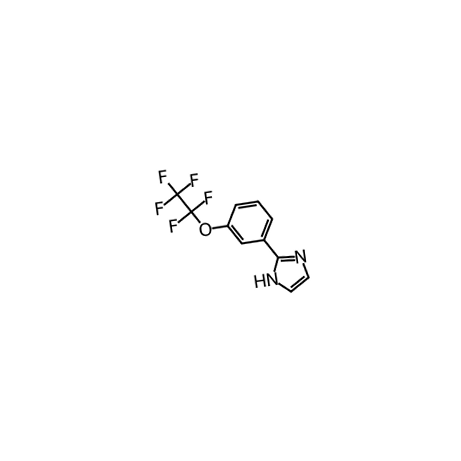 FC(F)(F)C(F)(F)Oc1cccc(-c2ncc[nH]2)c1